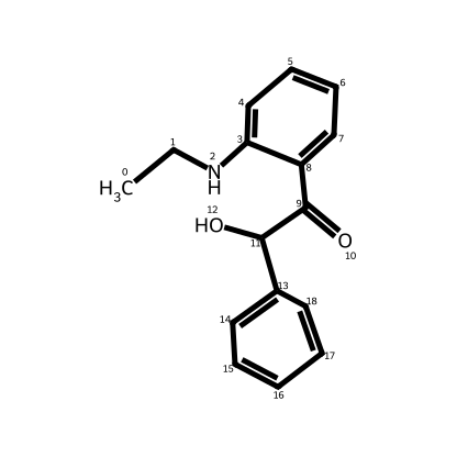 CCNc1ccccc1C(=O)C(O)c1ccccc1